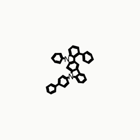 c1ccc(-c2ccc(-n3c4ccccc4c4cc5c6c(-c7ccccc7)cccc6n(-c6ccccc6)c5cc43)cc2)cc1